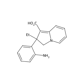 CCC1(c2ccccc2N)CN2C=CC=CC2=C1C(=O)O